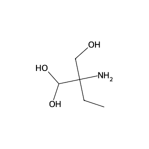 CCC(N)(CO)C(O)O